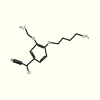 CCCCCOc1ccc(C(Cl)C#N)cc1OCC